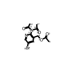 CC(=O)OCc1cc(Br)cnc1N(C(C)=O)C(C)=O